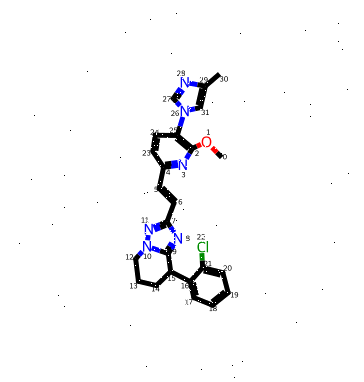 COc1nc(/C=C/c2nc3n(n2)CCCC3c2ccccc2Cl)ccc1-n1cnc(C)c1